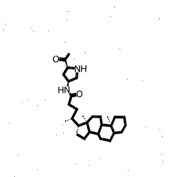 CC(=O)[C@@H]1C[C@H](NC(=O)CC[C@@H](C)[C@H]2CCC3C4CCC5CCCC[C@]5(C)C4CC[C@@]32C)CN1